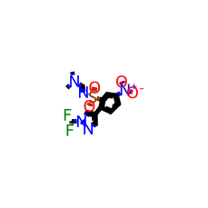 CN(C)C=NS(=O)(=O)c1cc([N+](=O)[O-])ccc1-c1cnn(C(F)F)c1